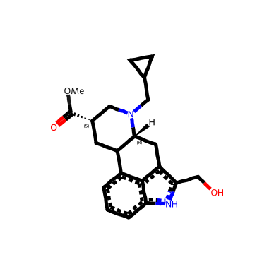 COC(=O)[C@H]1CC2c3cccc4[nH]c(CO)c(c34)C[C@H]2N(CC2CC2)C1